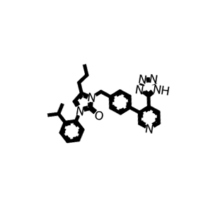 CCCc1cn(-c2ccccc2C(C)C)c(=O)n1Cc1ccc(-c2cnccc2-c2nnn[nH]2)cc1